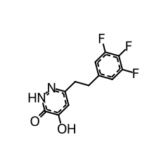 O=c1[nH]nc(CCc2cc(F)c(F)c(F)c2)cc1O